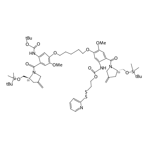 C=C1C[C@@H](CO[Si](C)(C)C(C)(C)C)N(C(=O)c2cc(OC)c(OCCCCCOc3cc(NC(=O)OC(C)(C)C)c(C(=O)N4CC(=C)C[C@H]4CO[Si](C)(C)C(C)(C)C)cc3OC)cc2NC(=O)OCCSSc2ccccn2)C1